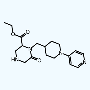 CCOC(=O)C1CNCC(=O)N1CC1CCN(c2ccncc2)CC1